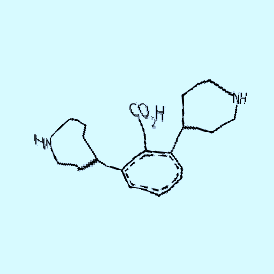 O=C(O)c1c(C2CCNCC2)cccc1C1CCNCC1